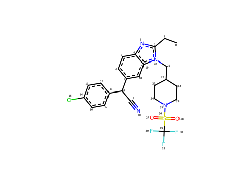 CCc1nc2ccc(C(C#N)c3ccc(Cl)cc3)cc2n1CC1CCN(S(=O)(=O)C(F)(F)F)CC1